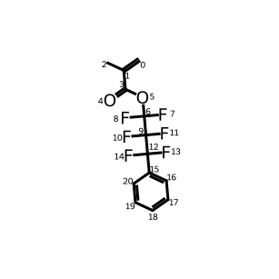 C=C(C)C(=O)OC(F)(F)C(F)(F)C(F)(F)c1ccccc1